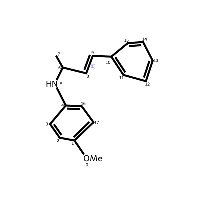 COc1ccc(NC(C)/C=C/c2ccccc2)cc1